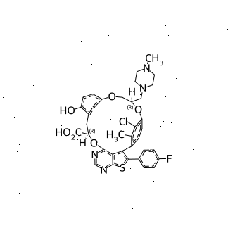 Cc1c2ccc(c1Cl)O[C@H](CN1CCN(C)CC1)COc1ccc(O)c(c1)C[C@H](C(=O)O)Oc1ncnc3sc(-c4ccc(F)cc4)c-2c13